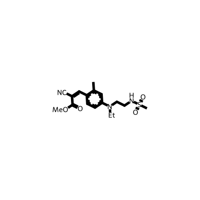 CCN(CCNS(C)(=O)=O)c1ccc(/C=C(/C#N)C(=O)OC)c(C)c1